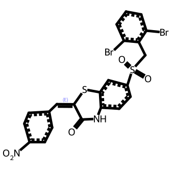 O=C1Nc2ccc(S(=O)(=O)Cc3c(Br)cccc3Br)cc2S/C1=C/c1ccc([N+](=O)[O-])cc1